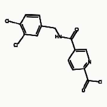 O=C(NCc1ccc(Cl)c(Cl)c1)c1ccc(C(=O)Cl)nc1